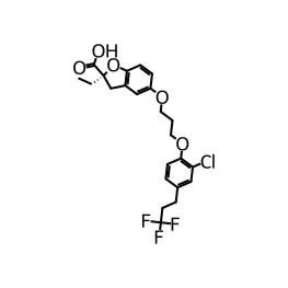 CC[C@@]1(C(=O)O)Cc2cc(OCCCOc3ccc(CCC(F)(F)F)cc3Cl)ccc2O1